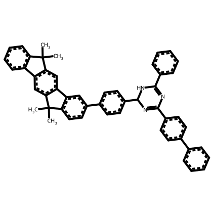 CC1(C)c2ccccc2-c2cc3c(cc21)-c1cc(-c2ccc(C4N=C(c5ccc(-c6ccccc6)cc5)N=C(c5ccccc5)N4)cc2)ccc1C3(C)C